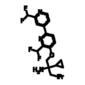 CC(C)CC(N)(COc1ccc(-c2ccnc(C(F)F)c2)nc1C(F)F)C1CC1